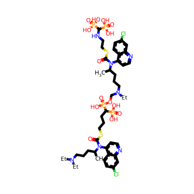 CCN(CC)CCCC(C)N(C(=O)SCCCC(P(=O)(O)O)P(=O)(O)OCN(CC)CCCC(C)N(C(=O)SCCNC(P(=O)(O)O)P(=O)(O)O)c1ccnc2cc(Cl)ccc12)c1ccnc2cc(Cl)ccc12